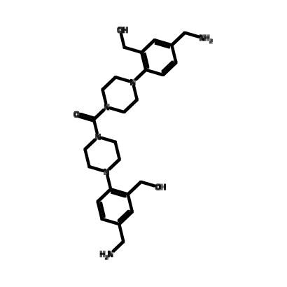 NCc1ccc(N2CCN(C(=O)N3CCN(c4ccc(CN)cc4CO)CC3)CC2)c(CO)c1